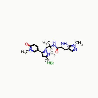 Br.Cn1cc(C[C@@H](N)C(=O)NC(C)(C)Cn2nc(C(F)(F)F)cc2-c2ccc(=O)n(C)c2)cn1